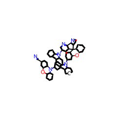 N#Cc1ccc2c(c1)Oc1ccccc1N2c1ccc2c(c1)c1ccccc1n2-c1ccc2c(c1)Oc1ccccc1C21c2cccnc2-c2ncc(-n3c4ccccc4c4ccccc43)cc21